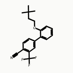 CC(C)(C)CCOc1ccccc1-c1ccc(C#N)c(C(F)(F)F)c1